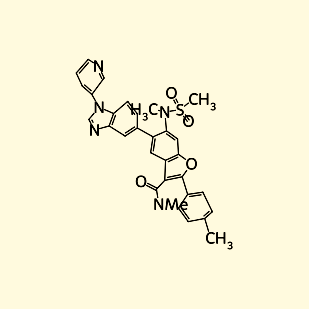 CNC(=O)c1c(-c2ccc(C)cc2)oc2cc(N(C)S(C)(=O)=O)c(-c3ccc4c(c3)ncn4-c3cccnc3)cc12